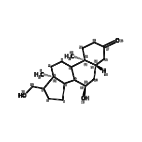 C[C@]12CCC3C(C1CCC2CO)[C@H](O)C[C@H]1CC(=O)CC[C@]31C